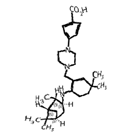 C[C@@H]1[C@@H](NC2CCC(C)(C)CC2CN2CCN(c3ccc(C(=O)O)cc3)CC2)C[C@@H]2C[C@@H]1C2(C)C